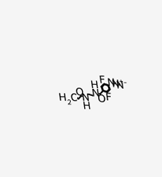 C=CC(=O)NCCNC(=O)c1cc(F)c(N=[N+]=[N-])cc1F